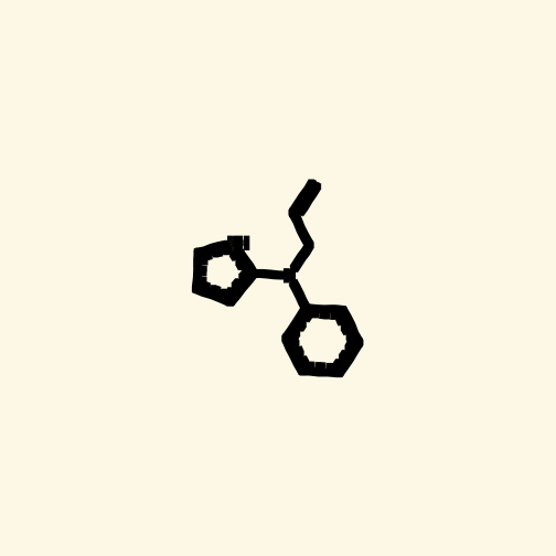 C=CCN(c1ccccc1)c1ccc[nH]1